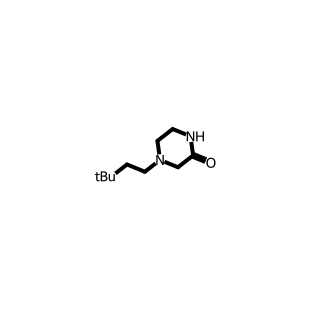 CC(C)(C)CCN1CCNC(=O)C1